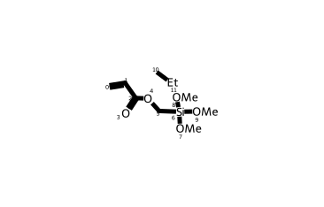 C=CC(=O)OC[Si](OC)(OC)OC.CCC